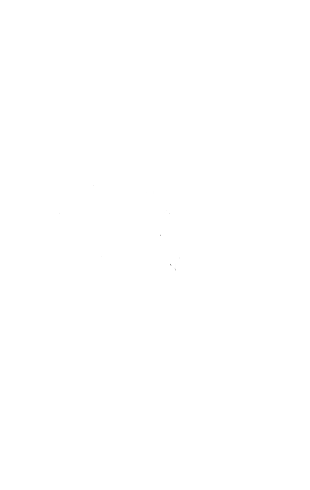 CCCNc1noc2ccccc12